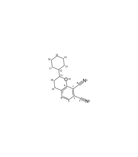 N#Cc1ccc2c(c1C#N)OC(C1CCCCC1)CC2